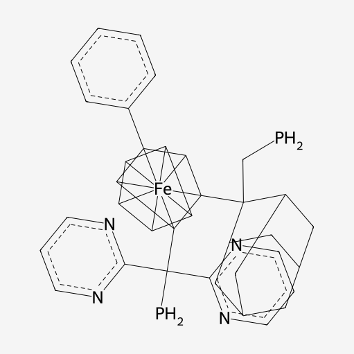 PCC1([C]23[CH]4[C]5(c6ccccc6)[CH]6[C]2(C(P)(c2ncccn2)c2ncccn2)[Fe]64532789[CH]3[CH]2[CH]7[CH]8[CH]39)C2CC3CC(C2)CC1C3